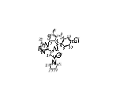 Cc1sc2c(c1C)C(c1ccc(Cl)cc1)=N[C@@H](CC(=O)N1CCCC1)c1nnc(C)n1-2